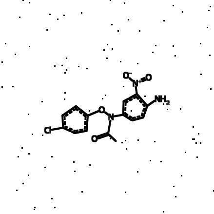 CC(=O)N(Oc1ccc(Cl)cc1)c1ccc(N)c([N+](=O)[O-])c1